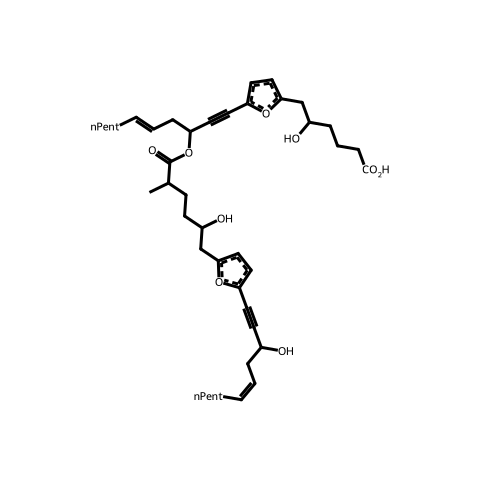 CCCCCC=CCC(C#Cc1ccc(CC(O)CCCC(=O)O)o1)OC(=O)C(C)CCC(O)Cc1ccc(C#CC(O)C/C=C\CCCCC)o1